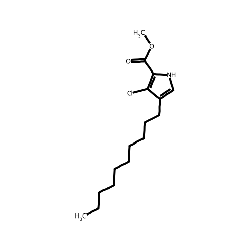 CCCCCCCCCCc1c[nH]c(C(=O)OC)c1Cl